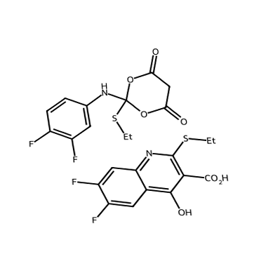 CCSC1(Nc2ccc(F)c(F)c2)OC(=O)CC(=O)O1.CCSc1nc2cc(F)c(F)cc2c(O)c1C(=O)O